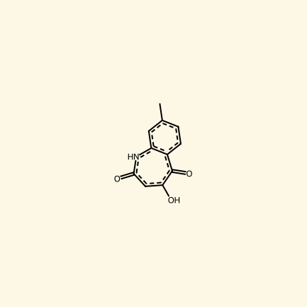 Cc1ccc2c(=O)c(O)cc(=O)[nH]c2c1